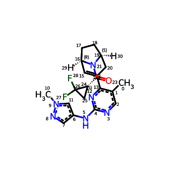 Cc1cnc(Nc2cnn(C)c2)nc1C1=C[C@H]2CC[C@@H](C1)N2C(=O)[C@@H]1CC1(F)F